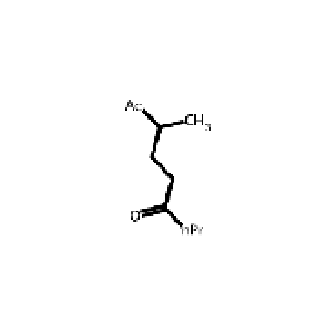 CCCC(=O)CCC(C)C(C)=O